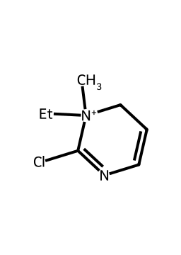 CC[N+]1(C)CC=CN=C1Cl